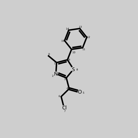 Cc1nc(C(=O)CCl)sc1-c1ccccc1